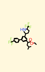 CCOC(=O)C(CC(C)C)c1cc(-c2ccc(C(F)(F)F)cc2)cc(C2CCC(C(F)(F)F)NC2)c1